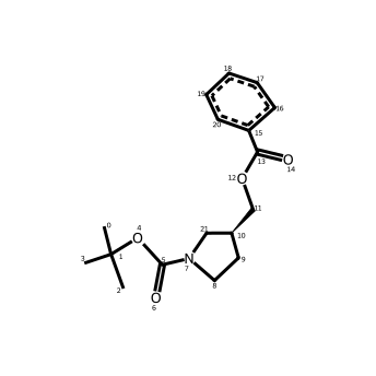 CC(C)(C)OC(=O)N1CC[C@H](COC(=O)c2ccccc2)C1